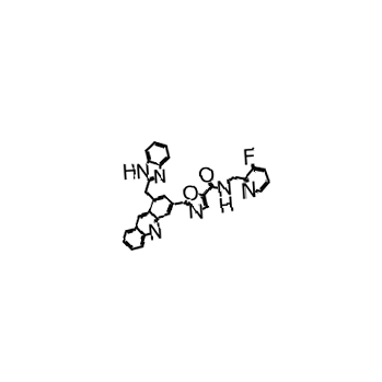 O=C(NCc1ncccc1F)c1cnc(-c2cc(Cc3nc4ccccc4[nH]3)c3cc4ccccc4nc3c2)o1